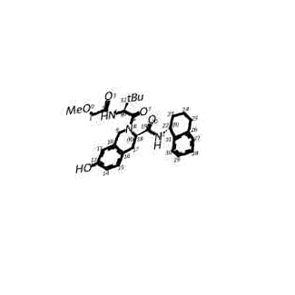 COCC(=O)N[C@H](C(=O)N1Cc2cc(O)ccc2C[C@@H]1C(=O)N[C@@H]1CCCc2ccccc21)C(C)(C)C